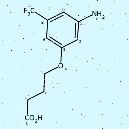 Nc1cc(OCCCC(=O)O)cc(C(F)(F)F)c1